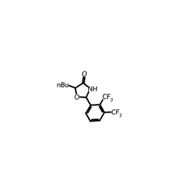 CCCCC1OC(c2cccc(C(F)(F)F)c2C(F)(F)F)NC1=O